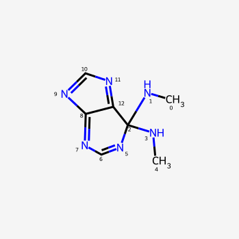 CNC1(NC)N=CN=C2N=CN=C21